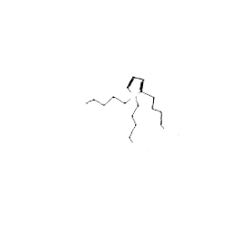 CCCCCC1=CC=C[Si]1(CCCCC)CCCCC